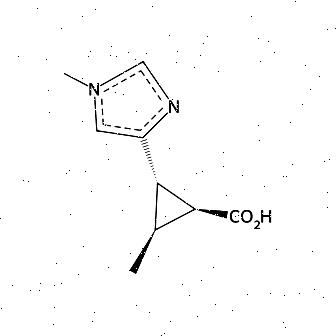 C[C@@H]1[C@H](C(=O)O)[C@H]1c1cn(C)cn1